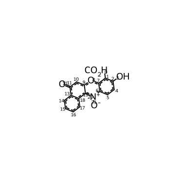 O=C(O)c1c(O)ccc2c1oc1cc(=O)c3ccccc3c-1[n+]2[O-]